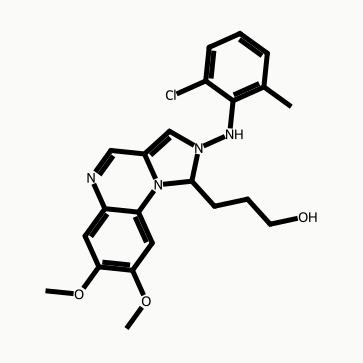 COc1cc2c(cc1OC)N1C(=CN(Nc3c(C)cccc3Cl)C1CCCO)C=N2